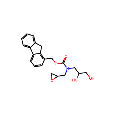 O=C(OCc1cccc2c1Cc1ccccc1-2)N(CC(O)CO)CC1CO1